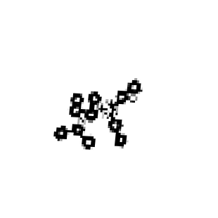 c1ccc(-c2ccc(-c3nc(-c4ccc5c(c4)oc4ccccc45)nc(-n4c5ccccc5c5c6c7c8ccccc8ccc7n(-c7cc(-c8ccccc8)cc(-c8ccccc8)c7)c6ccc54)n3)cc2)cc1